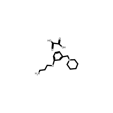 NCCCOc1cccc(CN2CCCCC2)c1.O=C(O)C(=O)O